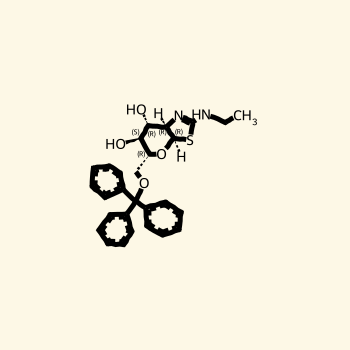 CCNC1=N[C@@H]2[C@@H](O)[C@H](O)[C@@H](COC(c3ccccc3)(c3ccccc3)c3ccccc3)O[C@@H]2S1